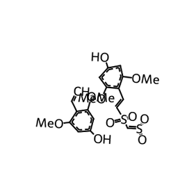 C=Cc1c(OC)cc(O)cc1OC.COc1cc(O)cc(OC)c1C=CS(=O)(=O)C=S(=O)=O